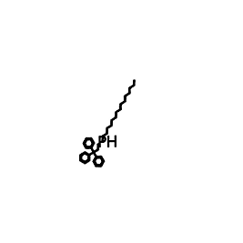 CCCCCCCCCCCCCCCPCCC(c1ccccc1)(c1ccccc1)c1ccccc1